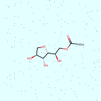 CCCCCCCCC(=O)OC[C@@H](O)[C@H]1OC[C@H](O)[C@H]1O